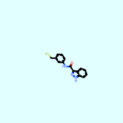 O=C(Nc1cccc(CS)c1)c1n[nH]c2ccccc12